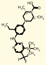 CCc1cc(N2C[C@@H](C)N(C(=O)O)[C@@H](C)C2)ccc1Nc1ncc(C(F)(F)F)[c]([Sn]([CH3])([CH3])[CH3])n1